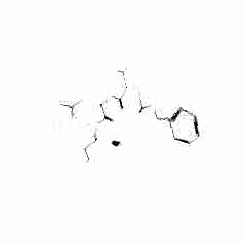 C#C[C@H](CCC)NC(=O)[C@H](CC(C)C)NC(=O)[C@@H](NC(=O)OCc1ccccc1)C(C)C